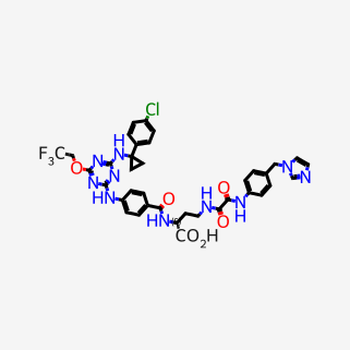 O=C(NCC[C@H](NC(=O)c1ccc(Nc2nc(NC3(c4ccc(Cl)cc4)CC3)nc(OCC(F)(F)F)n2)cc1)C(=O)O)C(=O)Nc1ccc(Cn2ccnc2)cc1